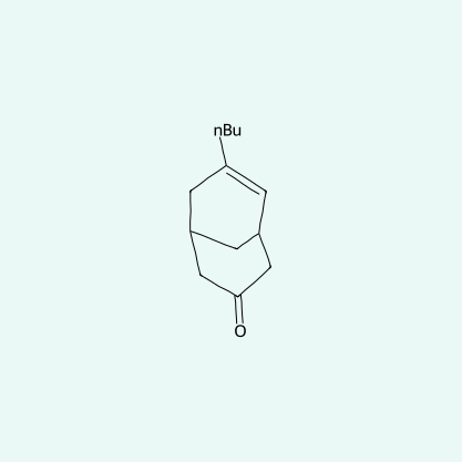 CCCCC1=CC2CC(=O)CC(C1)C2